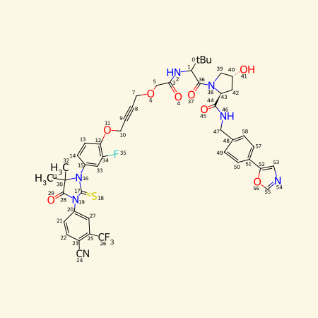 CC(C)(C)C(NC(=O)COCC#CCOc1ccc(N2C(=S)N(c3ccc(C#N)c(C(F)(F)F)c3)C(=O)C2(C)C)cc1F)C(=O)N1C[C@H](O)C[C@H]1C(=O)NCc1ccc(-c2cnco2)cc1